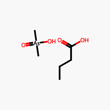 CCCC(=O)O.C[As](C)(=O)O